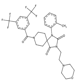 Cc1ccccc1N1C(=O)N(CCN2CCOCC2)C(=O)C12CCN(C(=O)c1cc(C(F)(F)F)cc(C(F)(F)F)c1)CC2